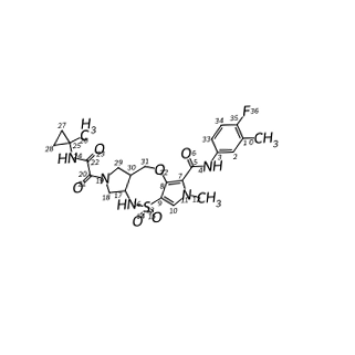 Cc1cc(NC(=O)c2c3c(cn2C)S(=O)(=O)NC2CN(C(=O)C(=O)NC4(C)CC4)CC2CO3)ccc1F